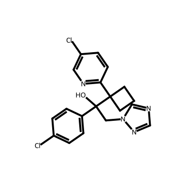 OC(Cn1cncn1)(c1ccc(Cl)cc1)C1(c2ccc(Cl)cn2)CCC1